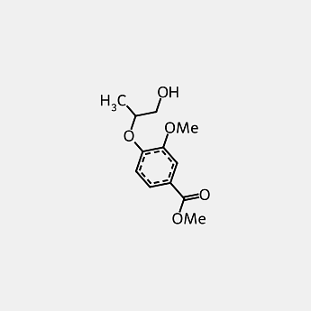 COC(=O)c1ccc(OC(C)CO)c(OC)c1